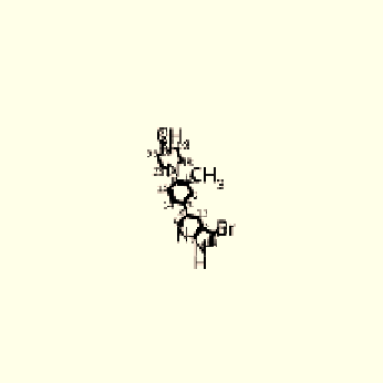 Cc1cc(-c2cnc3[nH]cc(Br)c3c2)ccc1N1CCN(C)CC1